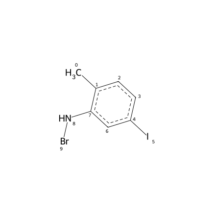 Cc1ccc(I)cc1NBr